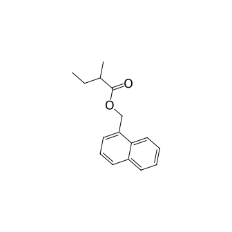 CCC(C)C(=O)OCc1cccc2ccccc12